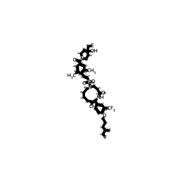 C/C1=C(\c2ccc(OCCCC(F)CF)c(C(F)(F)F)c2)NC(=O)CCN(S(=O)(=O)/C=C/c2c(C)cc(C(=O)N3CCC(O)(CF)CC3)cc2C)CCCC1